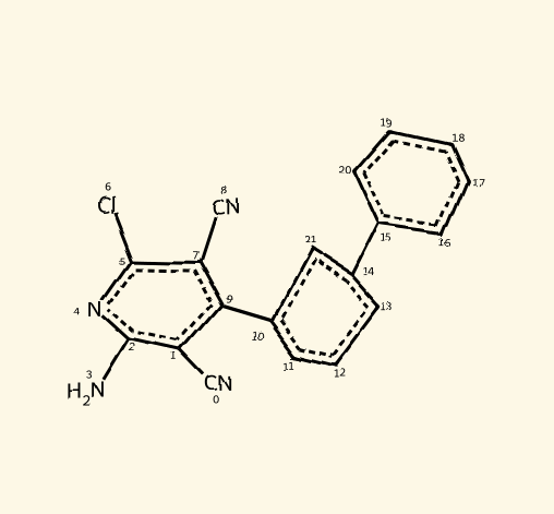 N#Cc1c(N)nc(Cl)c(C#N)c1-c1cccc(-c2ccccc2)c1